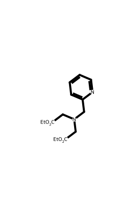 CCOC(=O)CN(CC(=O)OCC)Cc1ccccn1